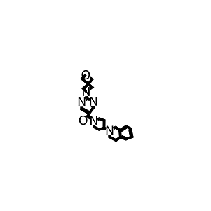 O=C(c1cnc(N2CC3(COC3)C2)nc1)N1CCC(N2CCc3ccccc3C2)CC1